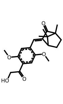 COc1cc(C(=O)CO)c(OC)cc1C=C1C(=O)C2(C)CCC1C2(C)C